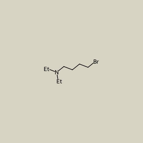 CCN(CC)CCCCBr